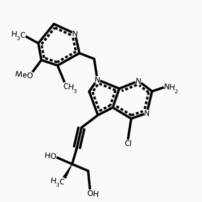 COc1c(C)cnc(Cn2cc(C#C[C@@](C)(O)CO)c3c(Cl)nc(N)nc32)c1C